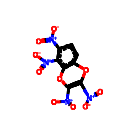 O=[N+]([O-])C1=C([N+](=O)[O-])Oc2c(ccc([N+](=O)[O-])c2[N+](=O)[O-])O1